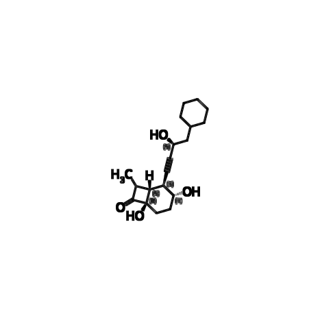 CC1C(=O)[C@@]2(O)CC[C@@H](O)[C@H](C#C[C@@H](O)CC3CCCCC3)[C@@H]12